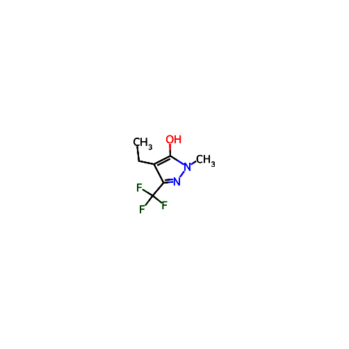 CCc1c(C(F)(F)F)nn(C)c1O